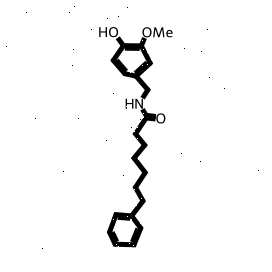 COc1cc(CNC(=O)CCCCCCc2ccccc2)ccc1O